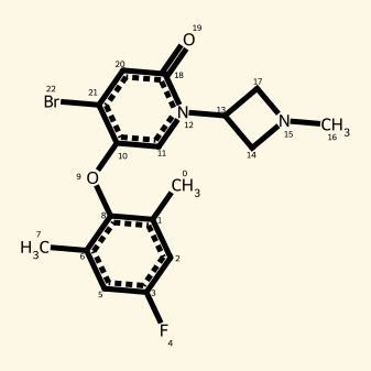 Cc1cc(F)cc(C)c1Oc1cn(C2CN(C)C2)c(=O)cc1Br